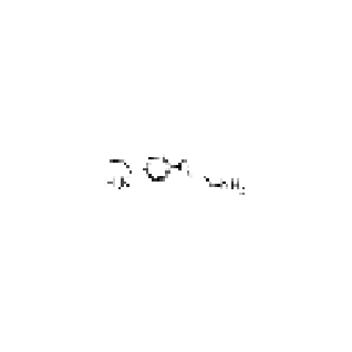 CCC(N)c1ccc(OCCCN)cc1